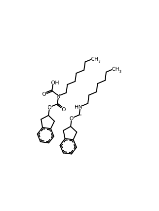 CCCCCCCN(C(=O)O)C(=O)OC1Cc2ccccc2C1.CCCCCCCN[C]OC1Cc2ccccc2C1